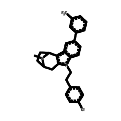 CN1C2CCC1c1c(n(CCc3ccc(Cl)cc3)c3ccc(-c4cccc(C(F)(F)F)c4)cc13)C2